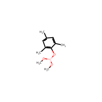 COB(OC)Oc1c(C)cc(C)cc1C